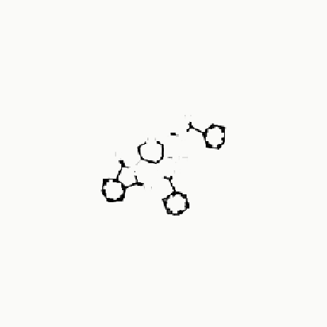 O=C(OC[C@H]1O[CH][C@H](N2C(=O)c3ccccc3C2=O)[C@@H](OC(=O)c2ccccc2)[C@@H]1O)c1ccccc1